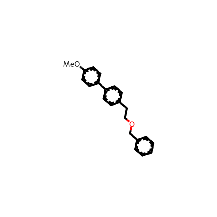 COc1ccc(-c2ccc(CCOCc3ccccc3)cc2)cc1